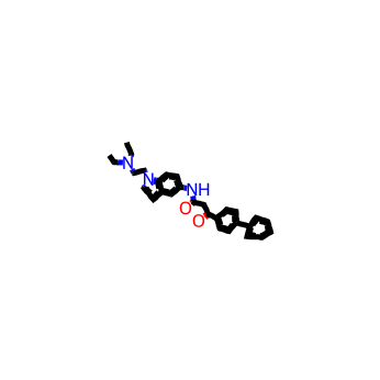 CCN(CC)CCn1ccc2cc(NC(=O)CC(=O)c3ccc(-c4ccccc4)cc3)ccc21